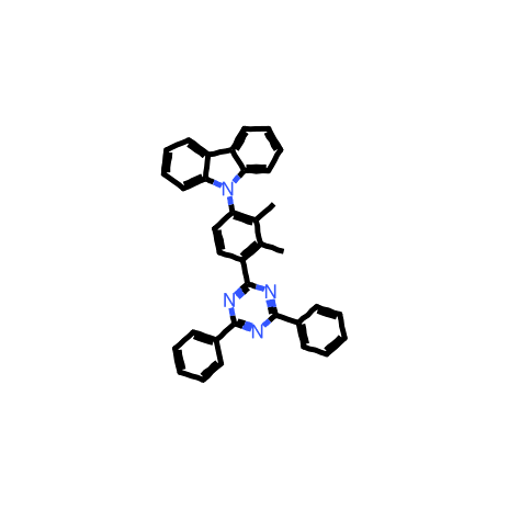 Cc1c(-c2nc(-c3ccccc3)nc(-c3ccccc3)n2)ccc(-n2c3ccccc3c3ccccc32)c1C